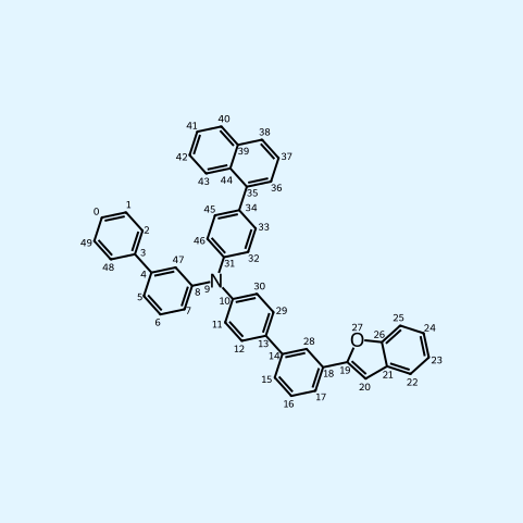 c1ccc(-c2cccc(N(c3ccc(-c4cccc(-c5cc6ccccc6o5)c4)cc3)c3ccc(-c4cccc5ccccc45)cc3)c2)cc1